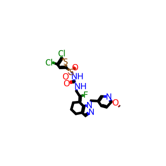 COc1ccc(Cn2ncc3c2C(=C(F)CNC(=O)NS(=O)(=O)c2cc(Cl)c(Cl)s2)CCC3)cn1